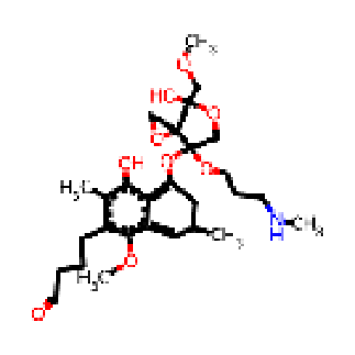 CNCCCOC1(OC2=c3c(O)c(C)c(CCCC=O)c(OC)c3=CC(C)C2)COC(O)(COC)C12CO2